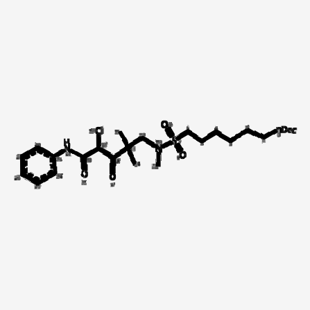 CCCCCCCCCCCCCCCCS(=O)(=O)N(C)CC(C)(C)C(=O)C(Cl)C(=O)Nc1ccccc1